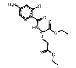 CCOC(=O)CC[C@H](NC(=O)c1ncc(N)cc1Cl)C(=O)OCC